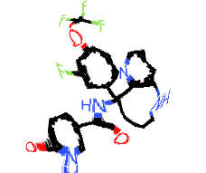 O=C(NC1(c2ccc(OC(F)(F)F)c(F)c2)CCCNc2cccnc21)c1ccc(=O)[nH]c1